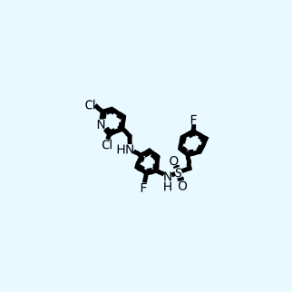 O=S(=O)(Cc1ccc(F)cc1)Nc1ccc(NCc2ccc(Cl)nc2Cl)cc1F